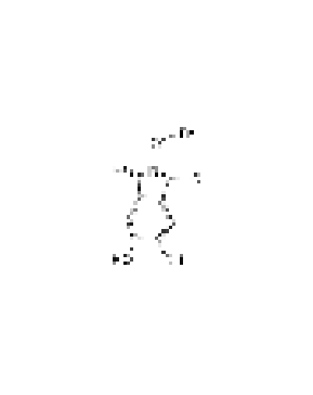 CC(C)ON1C(=O)c2cc(O)c(O)cc2C1=O